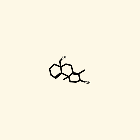 CC1=C2CCC3(CO)CCCC=C3C2(C)CCC1O